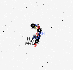 COC(=O)c1ccc(CN(CCN(C)C)CC(=O)Nc2ccc(Oc3nc4ccccc4s3)cc2)cc1